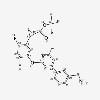 Cc1cc(Oc2nc(C3CC3C(=O)OC(C)(C)C)c(F)cc2F)cc(-c2cccc(CN)c2)c1